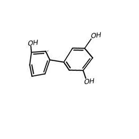 Oc1[c]c(-c2cc(O)cc(O)c2)ccc1